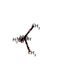 CCCCCCCCCCCCCCCC(=O)N[C@@H](COP(=O)(O)OCC)[C@H](O)CCCCCCCCCCCCCCC